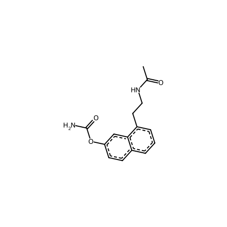 CC(=O)NCCc1cccc2ccc(OC(N)=O)cc12